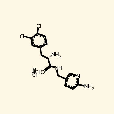 Cl.Cl.Nc1ccc(CNC(=O)[C@@H](N)Cc2ccc(Cl)c(Cl)c2)cn1